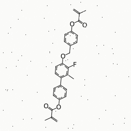 C=C(C)C(=O)Oc1ccc(COc2ccc(-c3ccc(OC(=O)C(=C)C)cc3)c(C)c2F)cc1